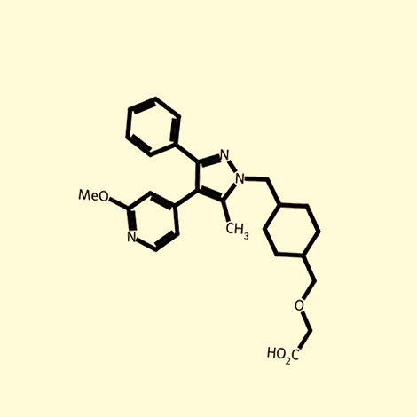 COc1cc(-c2c(-c3ccccc3)nn(CC3CCC(COCC(=O)O)CC3)c2C)ccn1